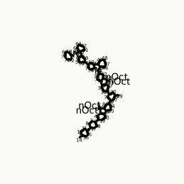 CCCCCCCCC1(CCCCCCCC)c2cc(-c3ccc(-c4ccc(C)cc4)cc3)ccc2-c2ccc(-c3cc(C)cc(-c4ccc5c(c4)C(CCCCCCCC)(CCCCCCCC)c4cc(-n6c7ccccc7c7cc(-c8ccc9c(c8)c8ccccc8n9-c8ccccc8)ccc76)ccc4-5)c3)cc21